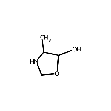 CC1NCOC1O